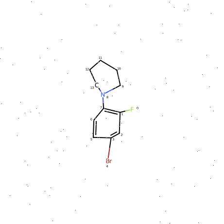 Fc1cc(Br)ccc1N1CCCCC1